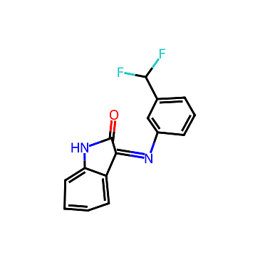 O=C1Nc2ccccc2C1=Nc1cccc(C(F)F)c1